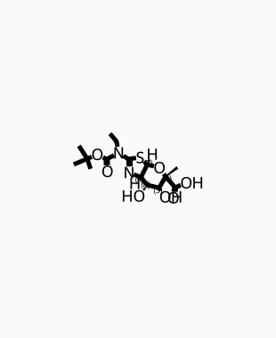 CCN(C(=O)OC(C)(C)C)C1=N[C@@H]2[C@@H](O)[C@H](O)[C@@](C)(C(=O)O)O[C@@H]2S1